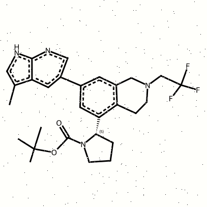 Cc1c[nH]c2ncc(-c3cc4c(c([C@@H]5CCCN5C(=O)OC(C)(C)C)c3)CCN(CC(F)(F)F)C4)cc12